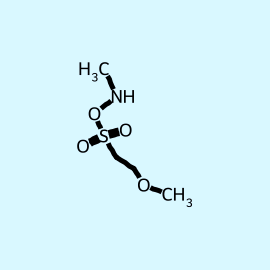 CNOS(=O)(=O)CCOC